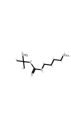 CCCCCCCCCCCCSC(=S)SC(C)(C)C=O